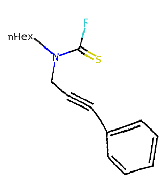 CCCCCCN(CC#Cc1ccccc1)C(F)=S